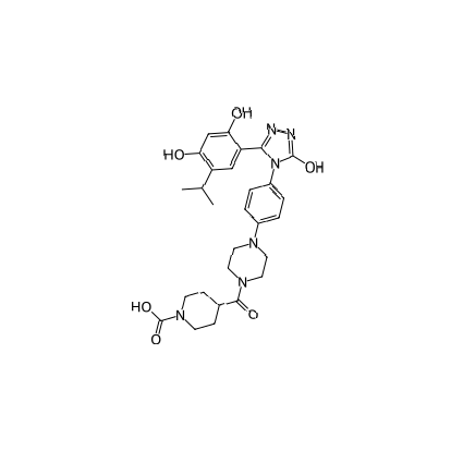 CC(C)c1cc(-c2nnc(O)n2-c2ccc(N3CCN(C(=O)C4CCN(C(=O)O)CC4)CC3)cc2)c(O)cc1O